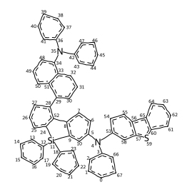 c1ccc(N(c2ccc3c(c2)[Si](c2ccccc2)(c2ccccc2)c2cccc(-c4cccc5c(N(c6ccccc6)c6ccccc6)cccc45)c2-3)c2ccc3c(c2)sc2ccccc23)cc1